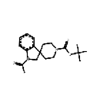 CC(=O)N1CC2(CCN(C(=O)OC(C)(C)C)CC2)c2ccccc21